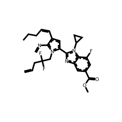 C=CCC(F)(F)Cn1c(-c2nc3cc(C(=O)OC)cc(F)c3n2C2CC2)cc(/C=C\CCC)c1N=C